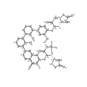 COc1nc(-c2cccc(-c3cccc(-c4ccn5c(=O)c(C)c(CN(C[C@H]6CCC(=O)N6)C(=O)OC(C)(C)C)nc5c4)c3Cl)c2Cl)ccc1CN(C[C@@H]1CCC(=O)N1)C(=O)O